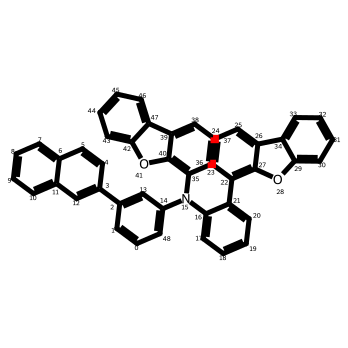 c1cc(-c2ccc3ccccc3c2)cc(N(c2ccccc2-c2cccc3c2oc2ccccc23)c2cccc3c2oc2ccccc23)c1